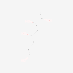 CC(O)C(O)CC(O)CCCO